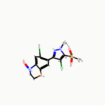 Cn1nc(-c2cc3c(cc2F)[N+](=O)CCS3)c(Cl)c1S(C)(=O)=O